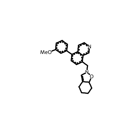 COc1cccc(-c2ccc(CN3C=C4CCCCC4O3)c3cnccc23)c1